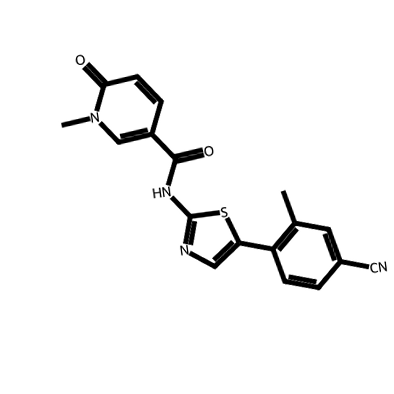 Cc1cc(C#N)ccc1-c1cnc(NC(=O)c2ccc(=O)n(C)c2)s1